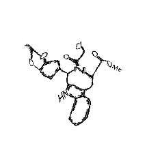 COC(=O)C1Cc2c([nH]c3ccccc23)[C@@H](c2ccc3c(c2)OCO3)N1C(=O)CCl